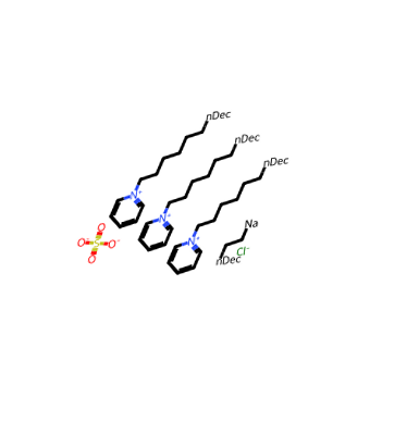 CCCCCCCCCCCCCCCC[n+]1ccccc1.CCCCCCCCCCCCCCCC[n+]1ccccc1.CCCCCCCCCCCCCCCC[n+]1ccccc1.CCCCCCCCCCC[CH2][Na].O=S(=O)([O-])[O-].[Cl-]